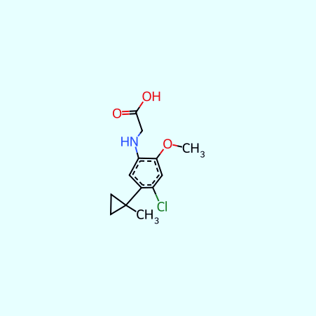 COc1cc(Cl)c(C2(C)CC2)cc1NCC(=O)O